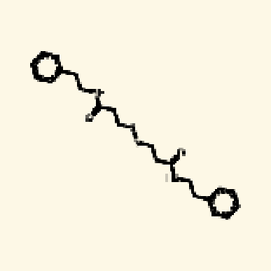 O=C(CCSSCCC(=O)NCCc1ccccc1)NCCc1ccccc1